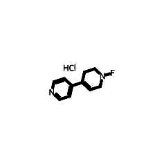 Cl.FN1CC=C(c2ccncc2)CC1